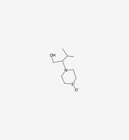 CC(C)C(CO)N1CC[S+]([O-])CC1